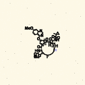 COc1ccc2c(O[C@@H]3C[C@H]4C(=O)N[C@]5(C(=O)NS(=O)(=O)C6(C)CC6)C[C@H]5/C=C\CC[C@@H](C)C[C@@H](C)[C@H](NC(=O)OC(C)(C)C)C(=O)N4C3)ncnc2c1